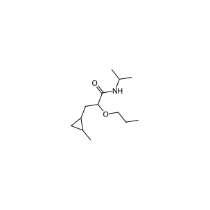 CCCOC(CC1CC1C)C(=O)NC(C)C